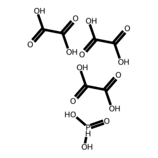 O=C(O)C(=O)O.O=C(O)C(=O)O.O=C(O)C(=O)O.O=[PH](O)O